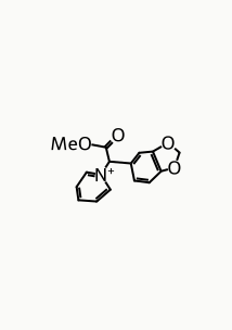 COC(=O)C(c1ccc2c(c1)OCO2)[n+]1ccccc1